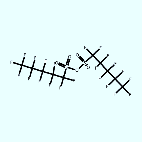 O=S(=O)(OS(=O)(=O)C(F)(F)C(F)(F)C(F)(F)C(F)(F)C(F)(F)F)C(F)(F)C(F)(F)C(F)(F)C(F)(F)C(F)(F)F